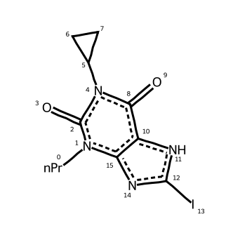 CCCn1c(=O)n(C2CC2)c(=O)c2[nH]c(I)nc21